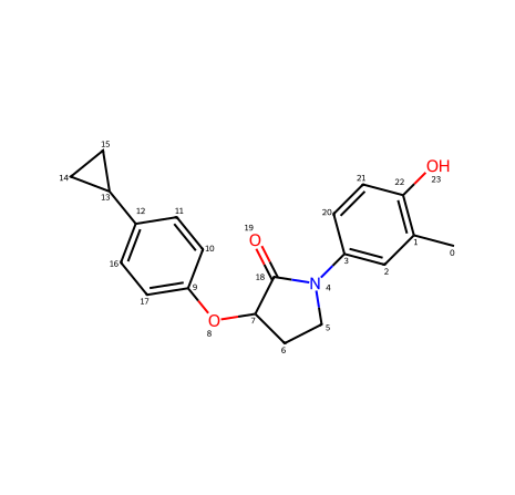 Cc1cc(N2CCC(Oc3ccc(C4CC4)cc3)C2=O)ccc1O